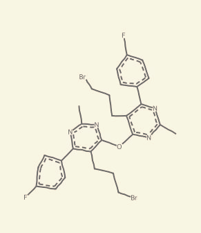 Cc1nc(Oc2nc(C)nc(-c3ccc(F)cc3)c2CCCBr)c(CCCBr)c(-c2ccc(F)cc2)n1